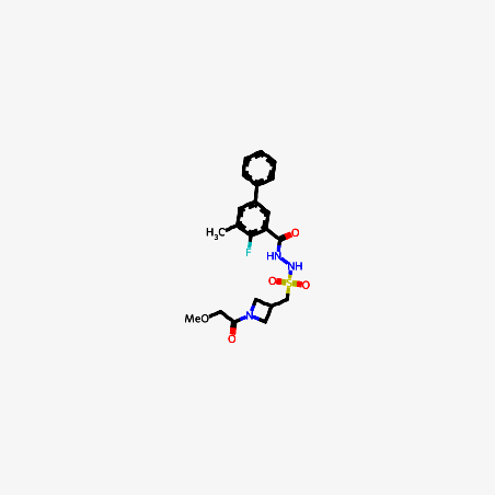 COCC(=O)N1CC(CS(=O)(=O)NNC(=O)c2cc(-c3ccccc3)cc(C)c2F)C1